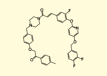 Cc1ccc(C(=O)COc2ccc(CN3CCN(C(=O)C=Cc4ccc(Oc5ccc(OCc6ccc(F)c(F)c6)cn5)c(F)c4)CC3)cc2)cc1